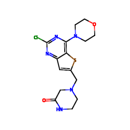 O=C1CN(Cc2cc3nc(Cl)nc(N4CCOCC4)c3s2)CCN1